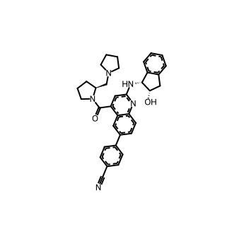 N#Cc1ccc(-c2ccc3nc(N[C@@H]4c5ccccc5C[C@@H]4O)cc(C(=O)N4CCC[C@H]4CN4CCCC4)c3c2)cc1